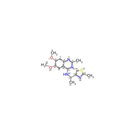 COc1cc2nc(C)nc(NC(C)c3csc(C)n3)c2cc1OC